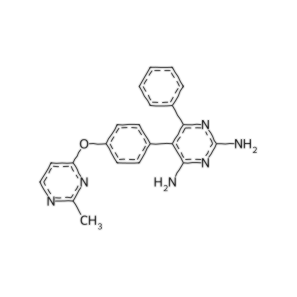 Cc1nccc(Oc2ccc(-c3c(N)nc(N)nc3-c3ccccc3)cc2)n1